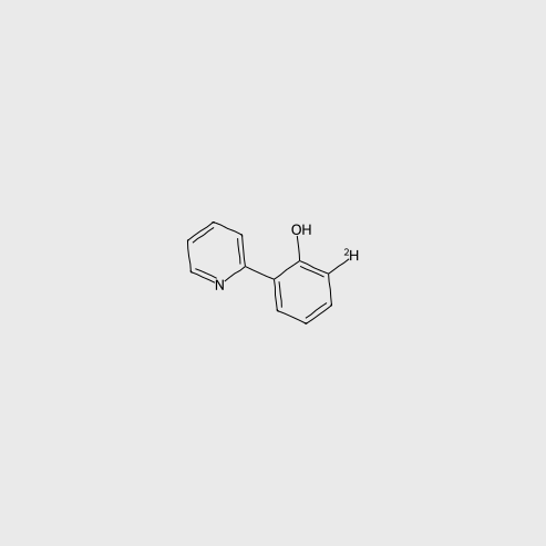 [2H]c1cccc(-c2ccccn2)c1O